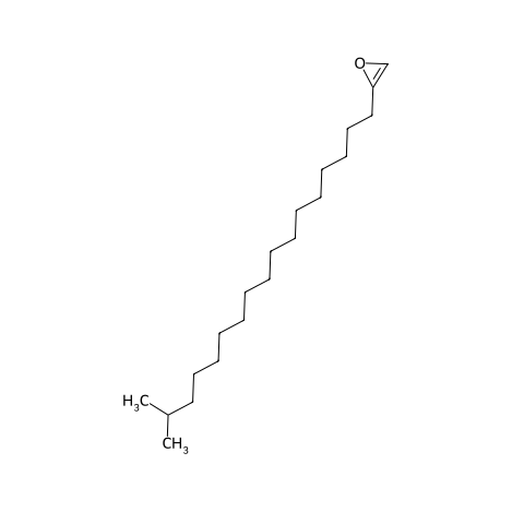 CC(C)CCCCCCCCCCCCCCCC1=CO1